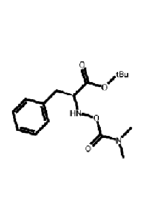 CN(C)C(=O)ON[C@@H](Cc1ccccc1)C(=O)OC(C)(C)C